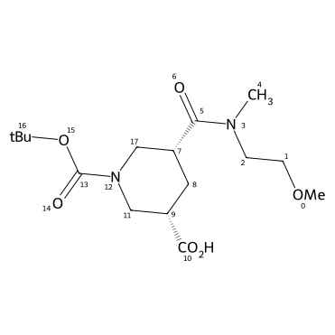 COCCN(C)C(=O)[C@@H]1C[C@H](C(=O)O)CN(C(=O)OC(C)(C)C)C1